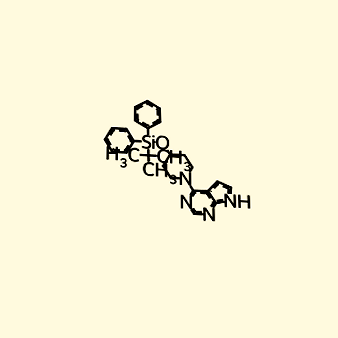 CC(C)(C)[Si](OC1CCN(c2ncnc3[nH]ccc23)CC1)(c1ccccc1)c1ccccc1